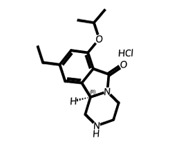 CCc1cc(OC(C)C)c2c(c1)[C@@H]1CNCCN1C2=O.Cl